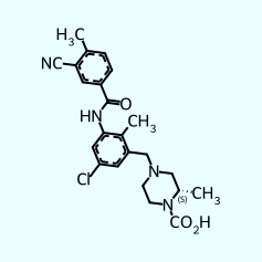 Cc1ccc(C(=O)Nc2cc(Cl)cc(CN3CCN(C(=O)O)[C@@H](C)C3)c2C)cc1C#N